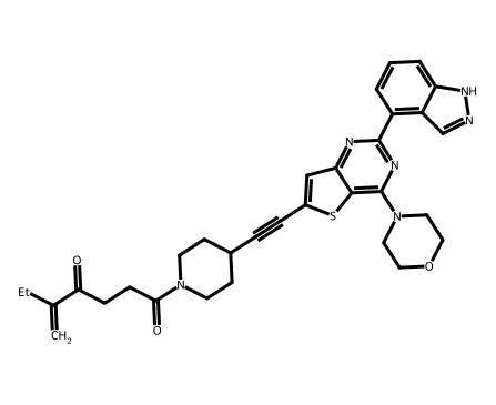 C=C(CC)C(=O)CCC(=O)N1CCC(C#Cc2cc3nc(-c4cccc5[nH]ncc45)nc(N4CCOCC4)c3s2)CC1